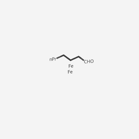 CCCCCCC=O.[Fe].[Fe]